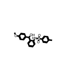 COc1ccc(C(O)c2ccccc2NS(=O)(=O)c2ccc(C)cc2)cc1